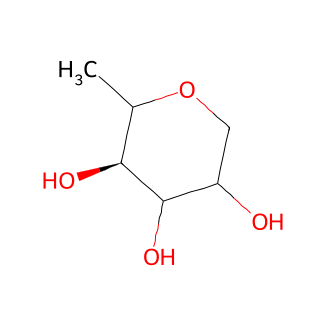 CC1OCC(O)C(O)[C@H]1O